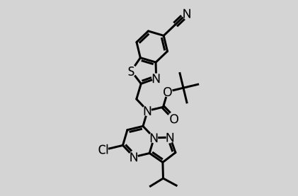 CC(C)c1cnn2c(N(Cc3nc4cc(C#N)ccc4s3)C(=O)OC(C)(C)C)cc(Cl)nc12